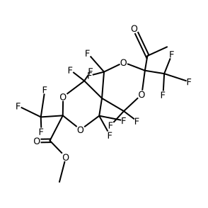 COC(=O)C1(C(F)(F)F)OC(F)(F)C2(C(F)(F)OC(C(C)=O)(C(F)(F)F)OC2(F)F)C(F)(F)O1